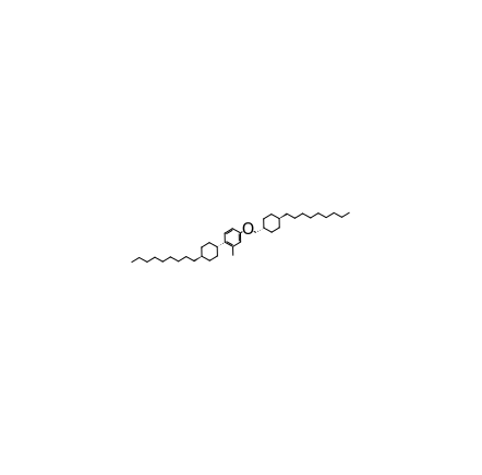 CCCCCCCCC[C@H]1CC[C@H](COc2ccc([C@H]3CC[C@H](CCCCCCCCC)CC3)c(C)c2)CC1